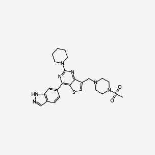 CS(=O)(=O)N1CCN(Cc2csc3c(-c4ccc5cn[nH]c5c4)nc(N4CCCCC4)nc23)CC1